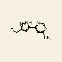 FCc1cc(-c2cc(C(F)(F)F)ncn2)[nH]n1